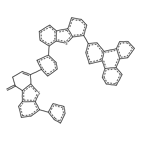 C=C1CC=C(c2cccc(-c3cccc4c3sc3c(-c5ccc6c7ccccc7c7ccccc7c6c5)cccc34)c2)c2sc3c(-c4ccccc4)cccc3c21